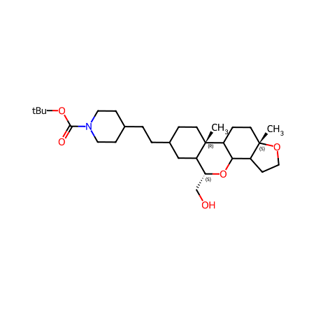 CC(C)(C)OC(=O)N1CCC(CCC2CC[C@]3(C)C4CC[C@]5(C)OCCC5C4O[C@H](CO)C3C2)CC1